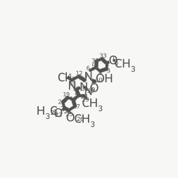 COc1ccc(CN(C(=O)O)c2cc(Cl)nc3c(-c4ccc(OC)c(OC)c4)c(C)nn23)cc1